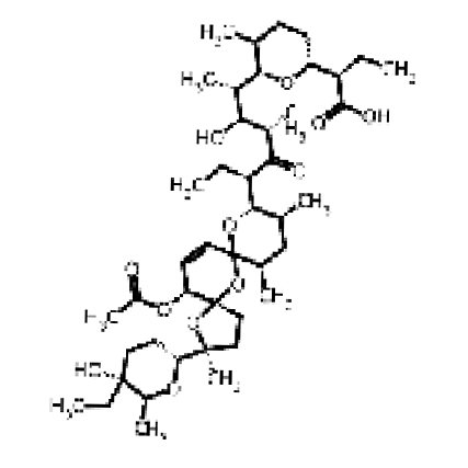 CC[C@@H](C(=O)[C@@H](C)[C@@H](O)[C@H](C)[C@@H]1O[C@@H]([C@@H](CC)C(=O)O)CCC1C)[C@H]1O[C@@]2(C=C[C@H](OC(C)=O)[C@]3(CC[C@@](C)([C@H]4CC[C@](O)(CC)[C@H](C)O4)O3)O2)[C@H](C)C[C@@H]1C